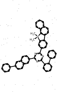 C[Si]1(C)c2cc(-c3nc(-c4ccc5cc(-c6ccccc6)ccc5c4)nc(-c4ccccc4-c4ccccc4)n3)ccc2-c2ccc3ccccc3c21